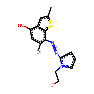 CCc1cc(O)c2cc(C)sc2c1/N=N/c1cccn1CCO